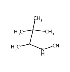 CC(NC#N)C(C)(C)C